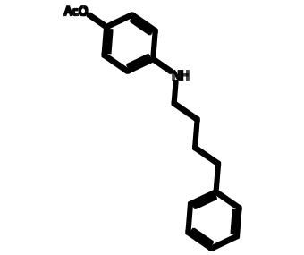 CC(=O)Oc1ccc(NCCCCc2ccccc2)cc1